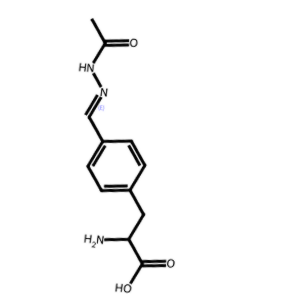 CC(=O)N/N=C/c1ccc(CC(N)C(=O)O)cc1